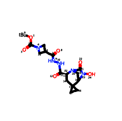 CC(C)(C)OC(=O)N1CC(C(=O)NNC(=O)[C@@H]2CC3(CC3)C3CN2C(=O)N3O)C1